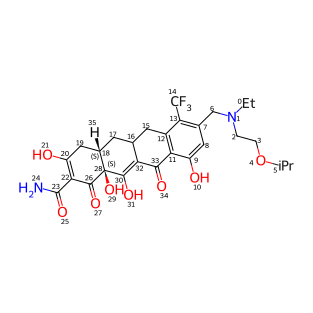 CCN(CCOC(C)C)Cc1cc(O)c2c(c1C(F)(F)F)CC1C[C@H]3CC(O)=C(C(N)=O)C(=O)[C@@]3(O)C(O)=C1C2=O